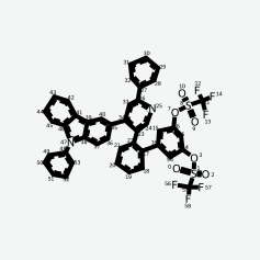 O=S(=O)(Oc1cc(OS(=O)(=O)C(F)(F)F)cc(-c2ccccc2-c2cnc(-c3ccccc3)cc2-c2ccc3c(c2)c2ccccc2n3-c2ccccc2)c1)C(F)(F)F